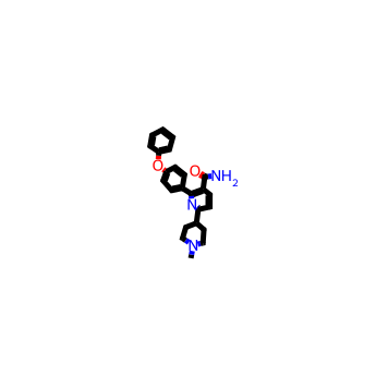 CN1CCC(c2ccc(C(N)=O)c(-c3ccc(Oc4ccccc4)cc3)n2)CC1